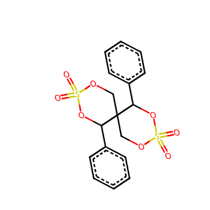 O=S1(=O)OCC2(COS(=O)(=O)OC2c2ccccc2)C(c2ccccc2)O1